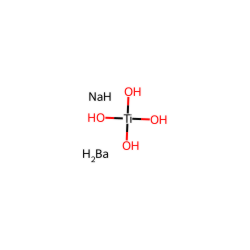 [BaH2].[NaH].[OH][Ti]([OH])([OH])[OH]